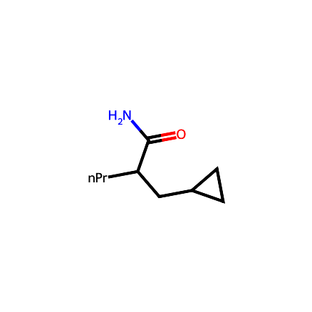 CCCC(CC1CC1)C(N)=O